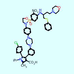 Cc1c(C(=O)O)c(-c2cccc(N3CCN(c4ccc(N5CCOP5(=O)c5ccc(NC(CCN6CCOCC6)CSc6ccccc6)c([N+](=O)[O-])c5)cc4)CC3)c2)c(-c2ccc(Cl)cc2)n1C(C)C